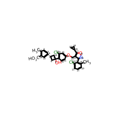 Cc1ccc([C@H]2C[C@@](O)(c3ccc(OCc4c(-c5c(C)cccc5Cl)noc4C4CC4)cc3Cl)C2)cc1C(=O)O